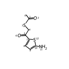 CC(=O)SCC(=O)c1ccc(N)s1